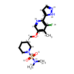 Cc1c(OC[C@H]2CCCN(S(=O)(=O)N(C)C)C2)cnc(-c2ccn[nH]2)c1F